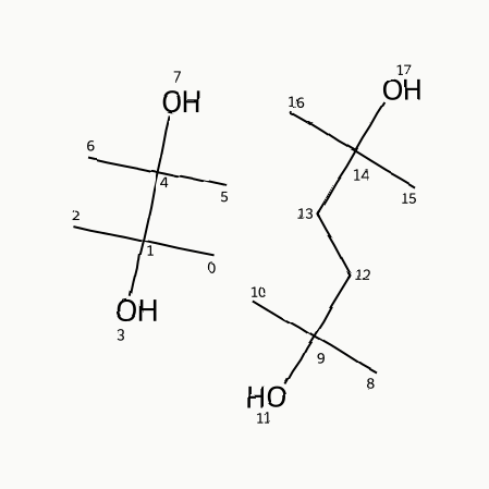 CC(C)(O)C(C)(C)O.CC(C)(O)CCC(C)(C)O